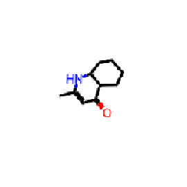 CC1=CC(=O)C2CCCCC2N1